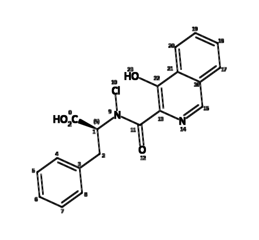 O=C(O)[C@H](Cc1ccccc1)N(Cl)C(=O)c1ncc2ccccc2c1O